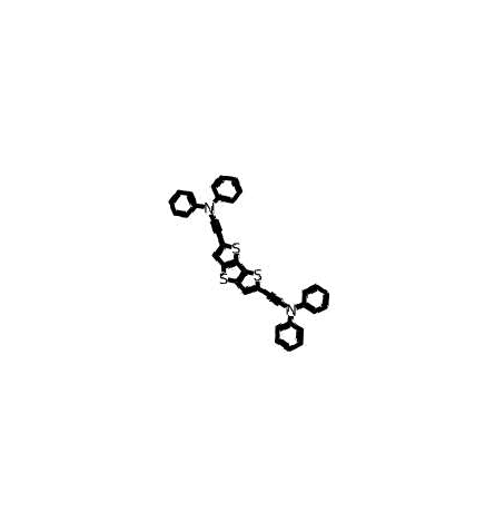 C(#CN(c1ccccc1)c1ccccc1)c1cc2sc3cc(C#CN(c4ccccc4)c4ccccc4)sc3c2s1